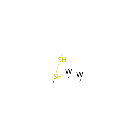 SS.[W].[W]